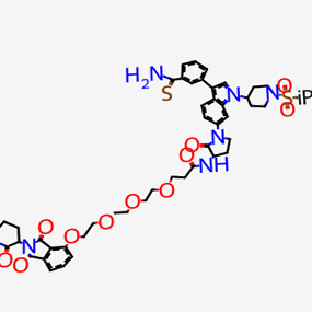 CC(C)S(=O)(=O)N1CCC(n2cc(-c3cccc(C(N)=S)c3)c3ccc(N4CCC(NC(=O)CCOCCOCCOCCOc5cccc6c5C(=O)N(C5CCC(=O)NC5=O)C6=O)C4=O)cc32)CC1